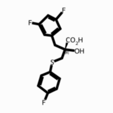 O=C(O)[C@@](O)(CSc1ccc(F)cc1)Cc1cc(F)cc(F)c1